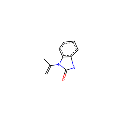 C=C(C)N1C(=O)[N]c2ccccc21